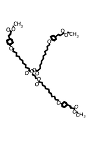 CCOC(=O)C=Cc1ccc(OCCCCCCCCCCCC(=O)OCC(COC(=O)CCCCCCCCCCCOc2ccc(C=CC(=O)OCC)cc2)OC(=O)CCCCCCCCCCCOc2ccc(C=CC(=O)OCC)cc2)cc1